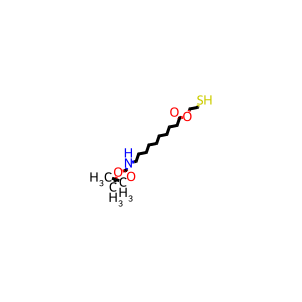 CC(C)(C)OC(=O)NCCCCCCCCCC(=O)OCCS